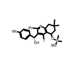 CC(C)c1nc2c(c(I)c1[C@H](O)c1ccc(C(C)(C)C)cc1)C(O[Si](C)(C)C(C)(C)C)CC(C)(C)C2